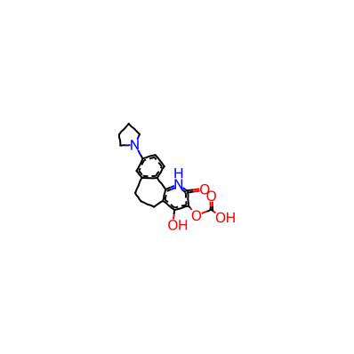 O=C(O)Oc1c(O)c2c([nH]c1=O)-c1ccc(N3CCCC3)cc1CCC2